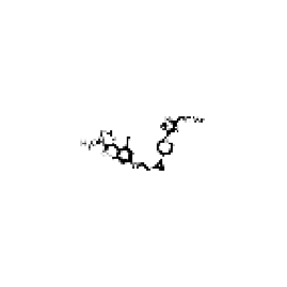 COCc1noc(N2CCC([C@@H]3C[C@H]3CCOc3cc(F)c(CC(=O)N(C)C)c(F)c3)CC2)n1